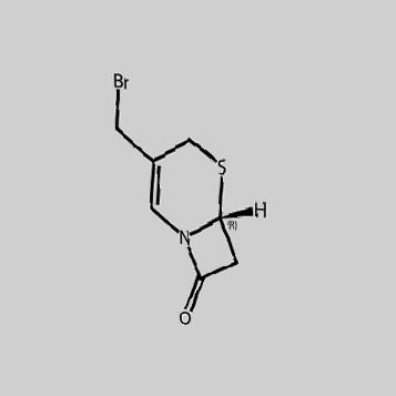 O=C1C[C@H]2SCC(CBr)=CN12